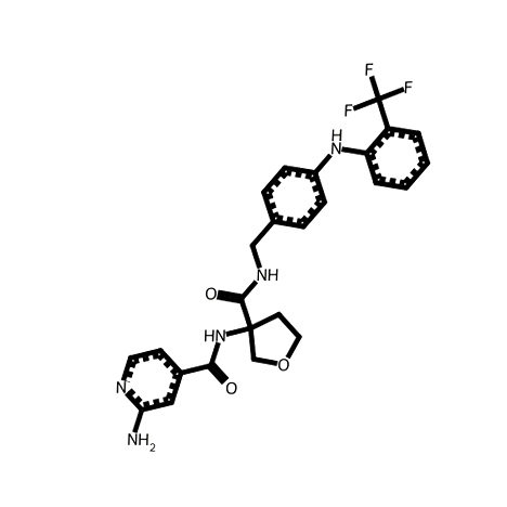 Nc1cc(C(=O)NC2(C(=O)NCc3ccc(Nc4ccccc4C(F)(F)F)cc3)CCOC2)ccn1